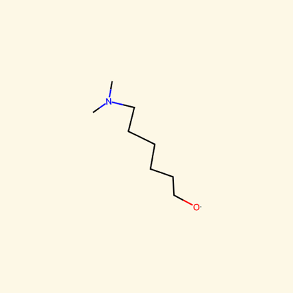 CN(C)CCCCCC[O]